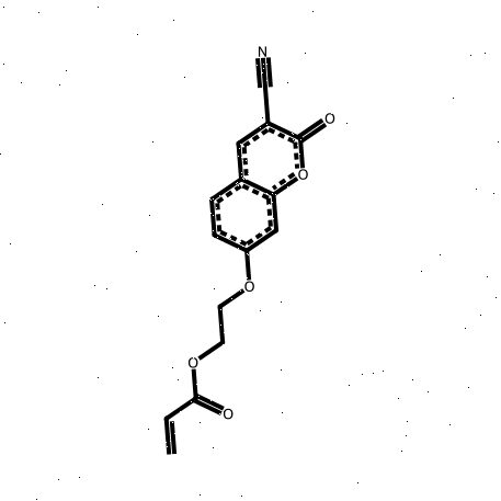 C=CC(=O)OCCOc1ccc2cc(C#N)c(=O)oc2c1